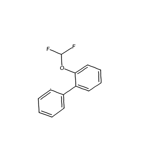 FC(F)Oc1ccccc1-c1[c]cccc1